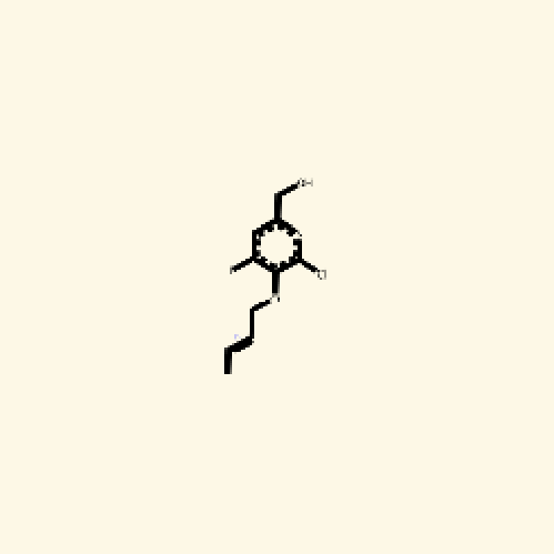 C/C=C/COc1c(I)cc(CO)nc1Cl